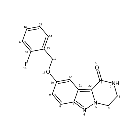 O=C1NCCn2nc3ccc(OCc4ccccc4F)cc3c21